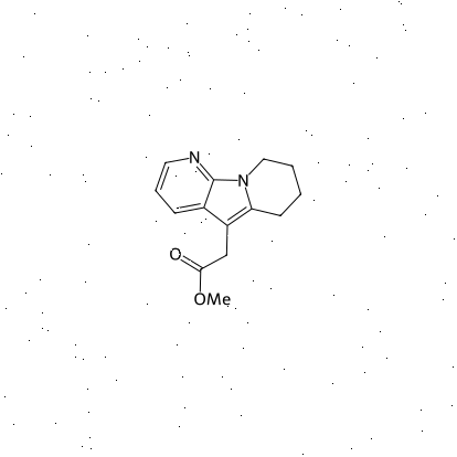 COC(=O)Cc1c2n(c3ncccc13)CCCC2